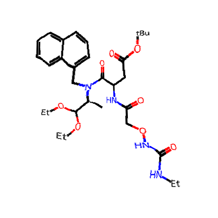 CCNC(=O)NOCC(=O)NC(CC(=O)OC(C)(C)C)C(=O)N(Cc1cccc2ccccc12)[C@@H](C)C(OCC)OCC